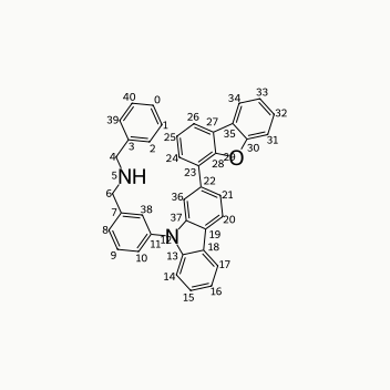 c1ccc(CNCc2cccc(-n3c4ccccc4c4ccc(-c5cccc6c5oc5ccccc56)cc43)c2)cc1